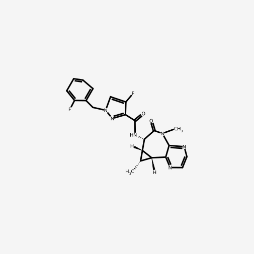 C[C@H]1[C@H]2c3nccnc3N(C)C(=O)[C@@H](NC(=O)c3nn(Cc4ccccc4F)cc3F)[C@@H]12